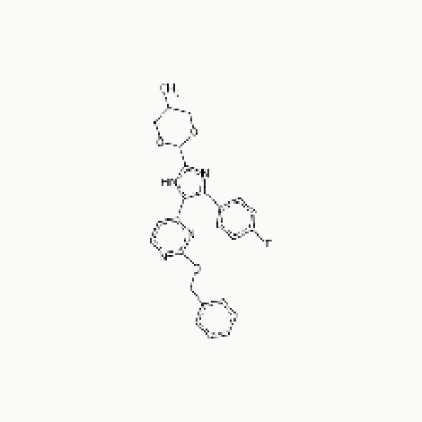 CC1COC(c2nc(-c3ccc(F)cc3)c(-c3ccnc(OCc4ccccc4)n3)[nH]2)OC1